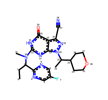 CCC(c1ncc(F)cn1)N(C)c1nc2c(c(C#N)nn2C(C)C2CCOCC2)c(=O)[nH]1